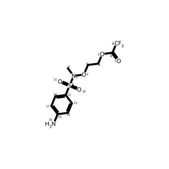 CN(OCCOC(=O)C(F)(F)F)S(=O)(=O)c1ccc(N)cc1